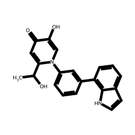 CC(O)c1cc(=O)c(O)cn1-c1cccc(-c2cccc3cc[nH]c23)c1